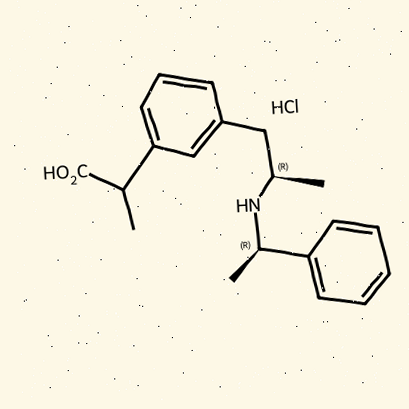 CC(C(=O)O)c1cccc(C[C@@H](C)N[C@H](C)c2ccccc2)c1.Cl